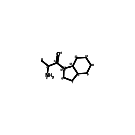 CC(N)C(=O)N1CCC2CCCCC21